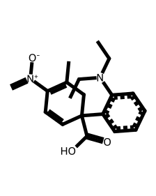 C=[N+]([O-])C1=C(C)CC(C(=O)O)(c2ccccc2N(CC)CC)C=C1